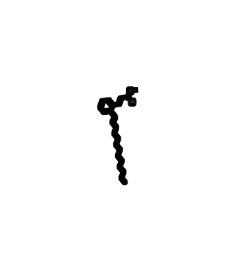 CCCCCCCCCCCC=Cc1ccccc1C=CC(=O)OC